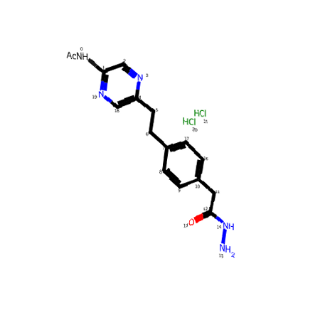 CC(=O)Nc1cnc(CCc2ccc(CC(=O)NN)cc2)cn1.Cl.Cl